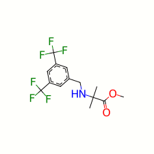 COC(=O)C(C)(C)NCc1cc(C(F)(F)F)cc(C(F)(F)F)c1